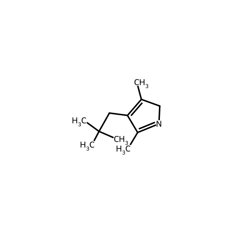 CC1=NCC(C)=C1CC(C)(C)C